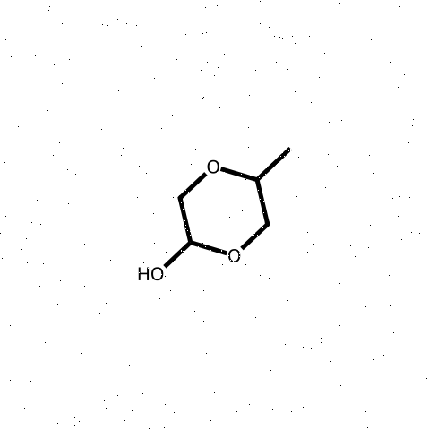 CC1COC(O)CO1